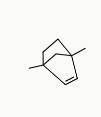 CC12C=CC(C)(CC1)C2